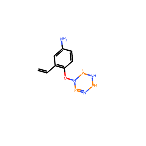 C=Cc1cc(N)ccc1On1pn[pH][nH][pH]1